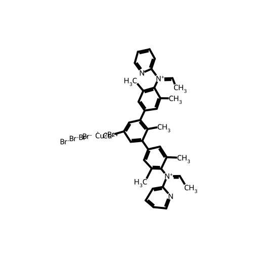 CC=[N+](c1ccccn1)c1c(C)cc(-c2cc(Br)cc(-c3cc(C)c([N+](=CC)c4ccccn4)c(C)c3)c2C)cc1C.[Br-].[Br-].[Br-].[Br-].[Cu+2].[Cu+2]